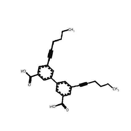 CCCCC#Cc1cc(C(=O)O)cc(-c2cc(C#CCCCC)cc(C(=O)O)c2)c1